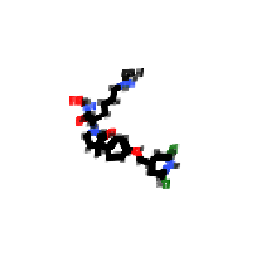 CC1(c2ccc(OCc3cc(Cl)nc(Cl)c3)cc2)CCN([C@H](CCCCNC(=O)O)C(=O)NO)C1=O